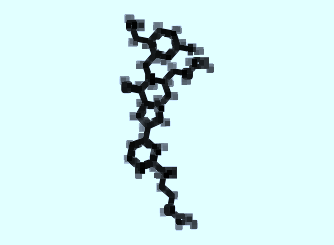 COCCNc1nccc(-c2cc3n(c2)CC(COC)N(Cc2cc(F)ccc2CO)C3=O)n1